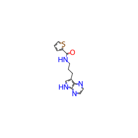 O=C(NCCCc1c[nH]c2nccnc12)c1cccs1